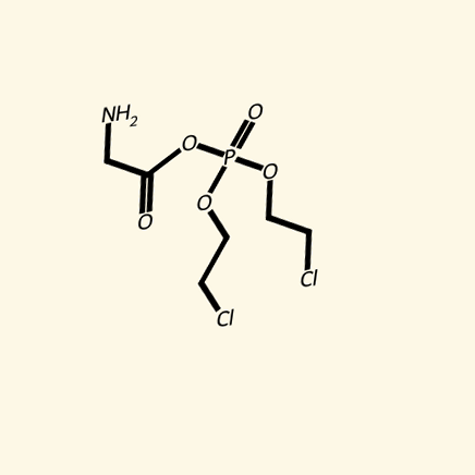 NCC(=O)OP(=O)(OCCCl)OCCCl